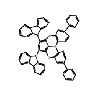 c1ccc(-c2ccc3c(c2)Oc2c(-n4c5ccccc5c5ccccc54)cc(-n4c5ccccc5c5ccccc54)c4c2B3c2ccc(-c3ccccc3)cc2O4)cc1